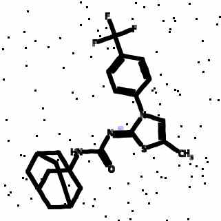 Cc1cn(-c2ccc(C(F)(F)F)cc2)/c(=N/C(=O)NC23CC4CC(CC(C4)C2)C3)s1